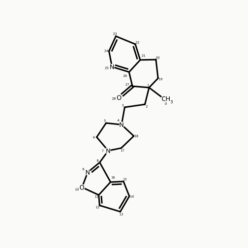 CC1(CCN2CCN(c3noc4ccccc34)CC2)CCc2cccnc2C1=O